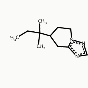 CCC(C)(C)C1CCn2ncnc2C1